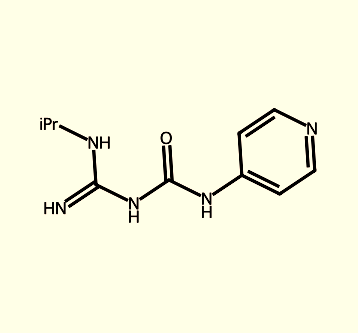 CC(C)NC(=N)NC(=O)Nc1ccncc1